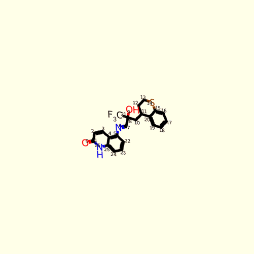 O=c1ccc2c(/N=C/C(O)(CC3CCSc4ccccc43)C(F)(F)F)cccc2[nH]1